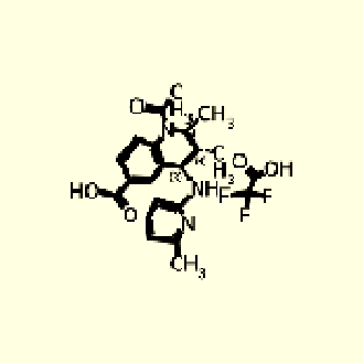 CC(=O)N1c2ccc(C(=O)O)cc2[C@H](Nc2cccc(C)n2)[C@@H](C)[C@@H]1C.O=C(O)C(F)(F)F